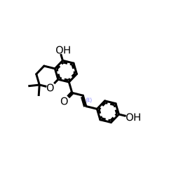 CC1(C)CCc2c(O)ccc(C(=O)/C=C/c3ccc(O)cc3)c2O1